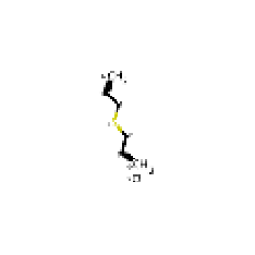 C=CCSCC=C.[C]